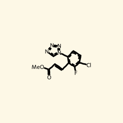 COC(=O)/C=C/c1c(-n2cnnn2)ccc(Cl)c1F